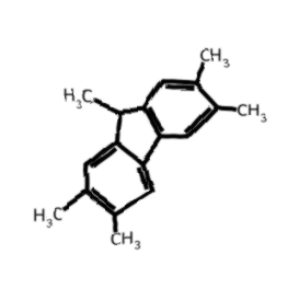 Cc1cc2c(cc1C)C(C)c1cc(C)c(C)cc1-2